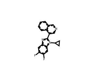 Fc1cc2nc(-c3cncc4ccccc34)n(C3CC3)c2cc1F